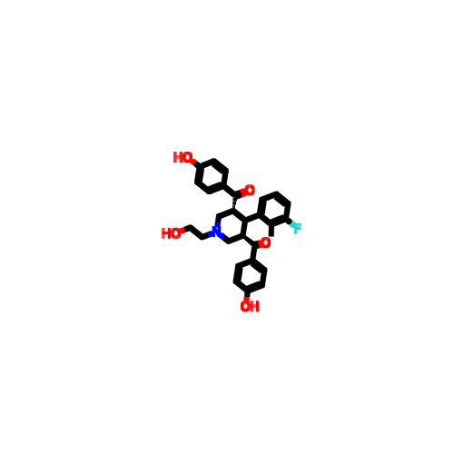 Cc1c(F)cccc1C1[C@@H](C(=O)c2ccc(O)cc2)CN(CCO)C[C@@H]1C(=O)c1ccc(O)cc1